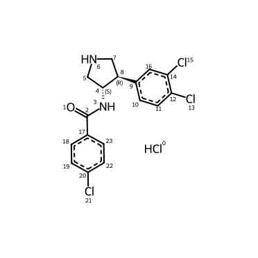 Cl.O=C(N[C@@H]1CNC[C@H]1c1ccc(Cl)c(Cl)c1)c1ccc(Cl)cc1